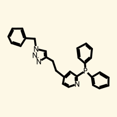 c1ccc(Cn2cc(CCc3ccnc(P(c4ccccc4)c4ccccc4)c3)nn2)cc1